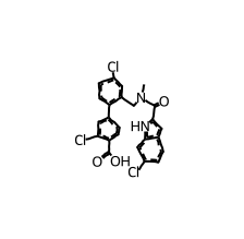 CN(Cc1cc(Cl)ccc1-c1ccc(C(=O)O)c(Cl)c1)C(=O)c1cc2ccc(Cl)cc2[nH]1